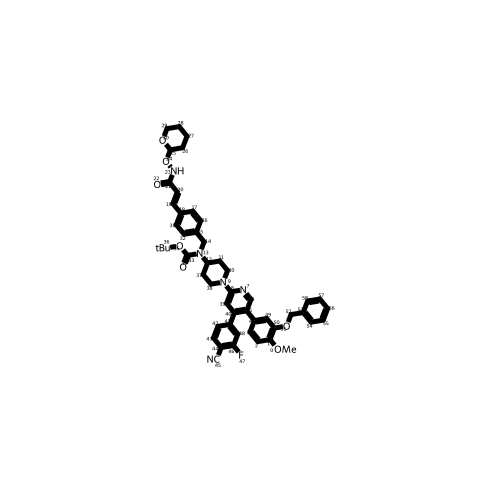 COc1ccc(-c2cnc(N3CCC(N(Cc4ccc(/C=C/C(=O)NOC5CCCCO5)cc4)C(=O)OC(C)(C)C)CC3)cc2-c2ccc(C#N)c(F)c2)cc1OCc1ccccc1